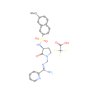 COc1ccc2ccc(S(=O)(=O)N[C@H]3CCN(CN=C(N)c4ccccn4)C3=O)cc2c1.O=C(O)C(F)(F)F